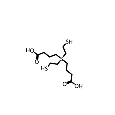 O=C(O)CCCS(CCS)(CCS)CCCC(=O)O